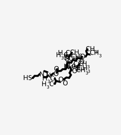 CCC(CC)COC(=O)CCCCC(CN(CCCC(=O)OCCN1CCN(CCCCS)CC1)CC(CCCCC(=O)OCC(CC)CC)O[Si](C)(C)C(C)(C)C)O[Si](C)(C)C(C)(C)C